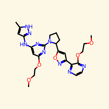 COCCOc1cc(Nc2cc(C)[nH]n2)nc(N2CCCC2c2cc(-c3nccnc3OCCOC)no2)n1